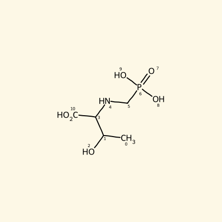 CC(O)C(NCP(=O)(O)O)C(=O)O